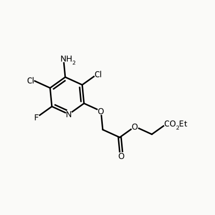 CCOC(=O)COC(=O)COc1nc(F)c(Cl)c(N)c1Cl